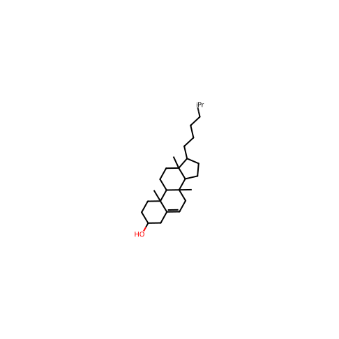 CC(C)CCCCC1CCC2C1(C)CCC1C3(C)CCC(O)CC3=CCC12C